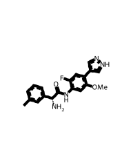 COc1cc(NC(=O)[C@H](N)c2cccc(C)c2)c(F)cc1-c1cn[nH]c1